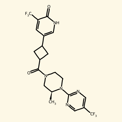 C[C@H]1CN(C(=O)C2CC(c3c[nH]c(=O)c(C(F)(F)F)c3)C2)CCN1c1ncc(C(F)(F)F)cn1